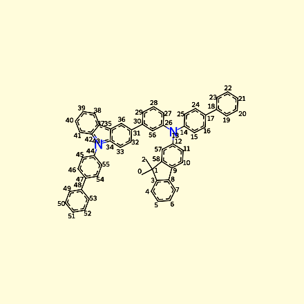 CC1(C)c2ccccc2-c2ccc(N(c3ccc(-c4ccccc4)cc3)c3cccc(-c4ccc5c(c4)c4ccccc4n5-c4ccc(-c5ccccc5)cc4)c3)cc21